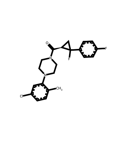 Cc1ccc(Cl)cc1N1CCN(C(=O)[C@H]2CC2(F)c2ccc(F)cc2)CC1